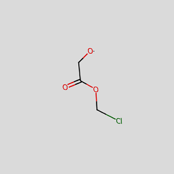 [O]CC(=O)OCCl